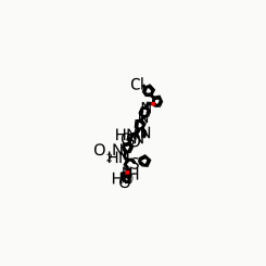 O=[N+]([O-])c1cc(S(=O)(=O)Nc2ncnc3cc(N4CCN(Cc5ccccc5-c5ccc(Cl)cc5)CC4)ccc23)ccc1NC(CCN1C[C@H]2C[C@@H]1CO2)CSc1ccccc1